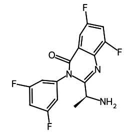 C[C@H](N)c1nc2c(F)cc(F)cc2c(=O)n1-c1cc(F)cc(F)c1